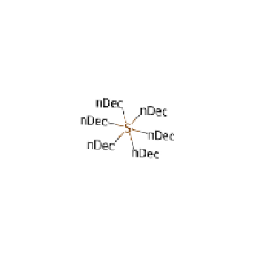 CCCCCCCCCCS(CCCCCCCCCC)(CCCCCCCCCC)(CCCCCCCCCC)(CCCCCCCCCC)CCCCCCCCCC